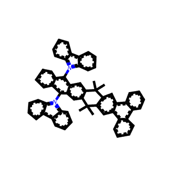 CC1(C)c2cc3c(-n4c5ccccc5c5ccccc54)c4ccccc4c(-n4c5ccccc5c5ccccc54)c3cc2C(C)(C)c2cc3c4ccccc4c4ccccc4c3cc21